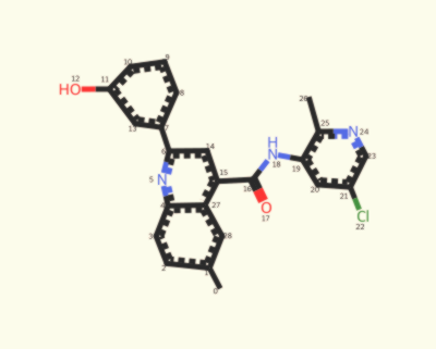 Cc1ccc2nc(-c3cccc(O)c3)cc(C(=O)Nc3cc(Cl)cnc3C)c2c1